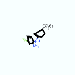 CCOC(=O)[C@H]1CC[C@@H](Nc2ccc(F)cc2N)CC1